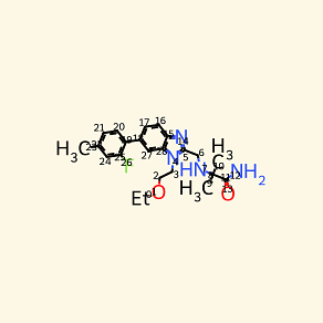 CCOCCn1c(CNC(C)(C)C(N)=O)nc2ccc(-c3ccc(C)cc3F)cc21